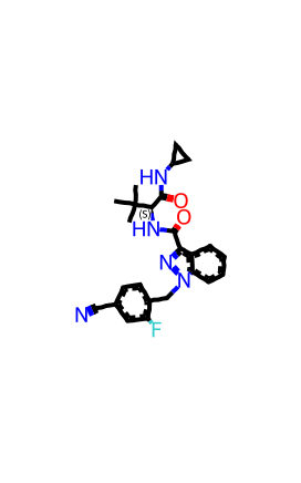 CC(C)(C)[C@H](NC(=O)c1nn(Cc2ccc(C#N)cc2F)c2ccccc12)C(=O)NC1CC1